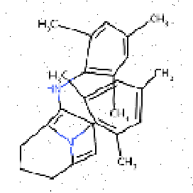 Cc1cc(C)c(NC2=C3CCCC(=CC2)N3c2c(C)cc(C)cc2C)c(C)c1